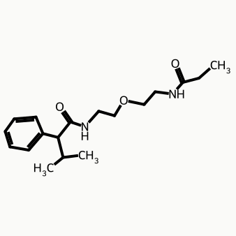 CCC(=O)NCCOCCNC(=O)C(c1ccccc1)C(C)C